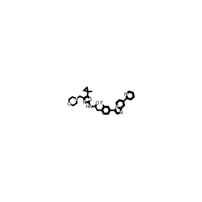 CC1(c2sc(NC(=O)Cc3ccc(-c4cnc5cc(-c6ccccn6)ccn45)cc3F)nc2CN2CCOCC2)CC1